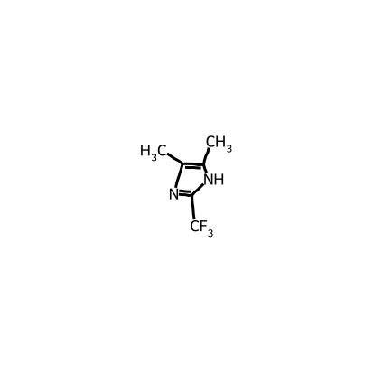 Cc1nc(C(F)(F)F)[nH]c1C